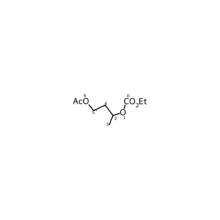 CCOC(=O)OC(C)C[CH]OC(C)=O